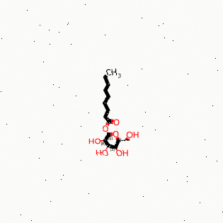 CCCCCCCCC(=O)O[C@@H]1O[C@H](CO)[C@@H](O)[C@H](O)[C@H]1O